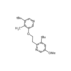 COc1cnc(CCOc2cncc(C(C)(C)C)c2C)c(C(C)(C)C)c1